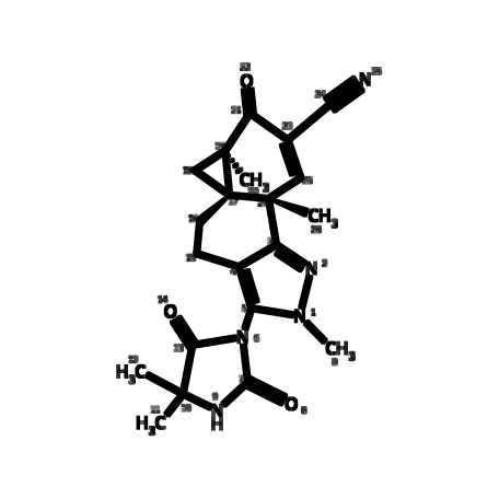 Cn1nc2c(c1N1C(=O)NC(C)(C)C1=O)CC[C@@]13C[C@@]1(C)C(=O)C(C#N)=C[C@]23C